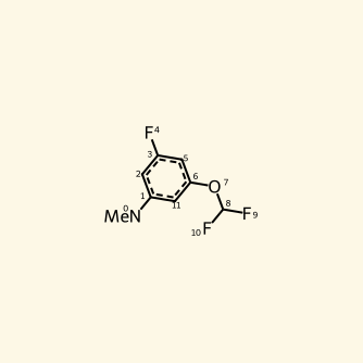 CNc1cc(F)cc(OC(F)F)c1